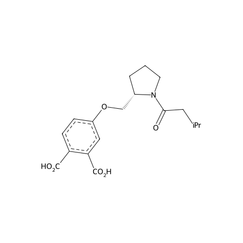 CC(C)CC(=O)N1CCC[C@H]1COc1ccc(C(=O)O)c(C(=O)O)c1